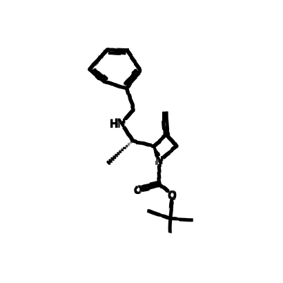 C=C1CN(C(=O)OC(C)(C)C)[C@H]1[C@H](C)NCc1ccccc1